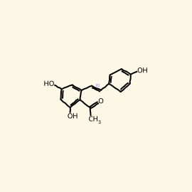 CC(=O)c1c(O)cc(O)cc1/C=C/c1ccc(O)cc1